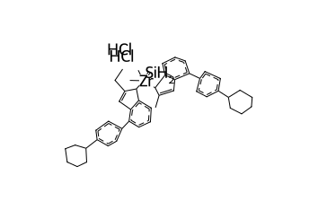 CCC1=Cc2c(-c3ccc(C4CCCCC4)cc3)cccc2[CH]1[Zr]([CH3])([CH3])(=[SiH2])[CH]1C(C)=Cc2c(-c3ccc(C4CCCCC4)cc3)cccc21.Cl.Cl